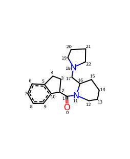 O=C(C1CCc2ccccc21)N1CCCCC1CN1CCCC1